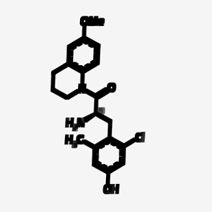 COc1ccc2c(c1)CCCN2C(=O)[C@H](N)Cc1c(C)cc(O)cc1Cl